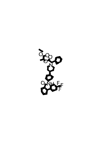 CCOC(=O)C(C)OC(=O)C(c1ccccc1)N1CCC(c2ccc(NC(=O)c3ccccc3-c3ccc(C(F)(F)F)cc3)cc2)CC1